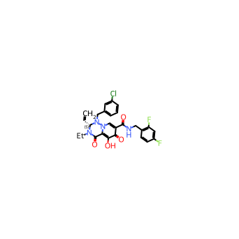 C=C[C@H]1N(CC)C(=O)c2c(O)c(=O)c(C(=O)NCc3ccc(F)cc3F)cn2N1Cc1cccc(Cl)c1